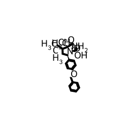 CC(C)(C)C1C[C@H](c2ccc(OCc3ccccc3)cc2)N(C(=O)O)[C@]1(C)C(N)=O